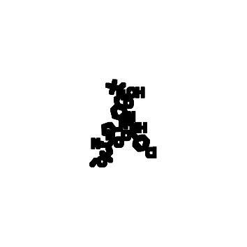 CCOC(C)(C)C=C(C#N)C(=O)N1CCCC1Cn1c(NC(=O)c2ccc(Cl)cc2)nc2cc(CN(C(=O)O)C(C)C(C)(C)C)ccc21